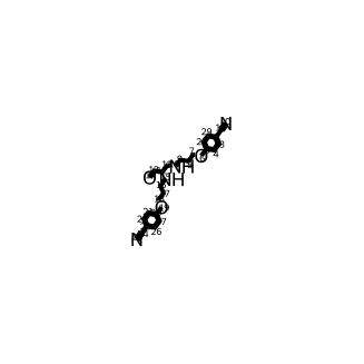 N#Cc1ccc(OCCCNCC(C=O)NCCCOc2ccc(C#N)cc2)cc1